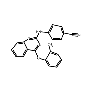 Cc1ccccc1Oc1nc(Nc2ccc(C#N)cc2)nc2ccccc12